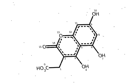 O=C(O)Cc1c(O)c2c(O)cc(O)cc2oc1=O